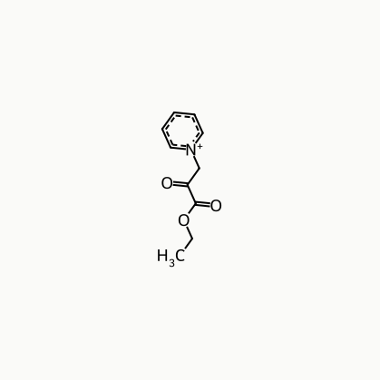 CCOC(=O)C(=O)C[n+]1ccccc1